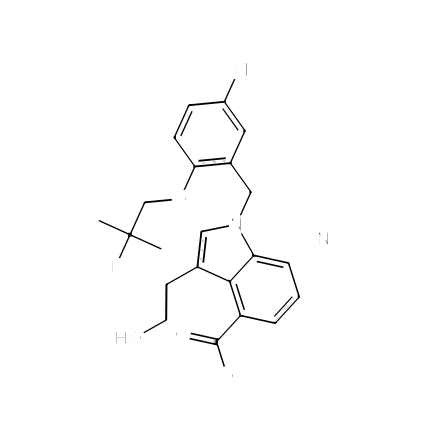 CC(C)(F)COc1ccc(Cl)cc1Cn1cc(CCO)c2c(C(=O)[O-])cccc21.[Na+]